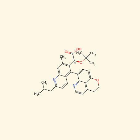 Cc1cc2nc(CC(C)C)ccc2c(-c2ccc3c4c(ccnc24)CCO3)c1[C@H](OC(C)(C)C)C(=O)O